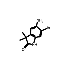 CC1(C)C(=O)Nc2cc(Br)c(N)cc21